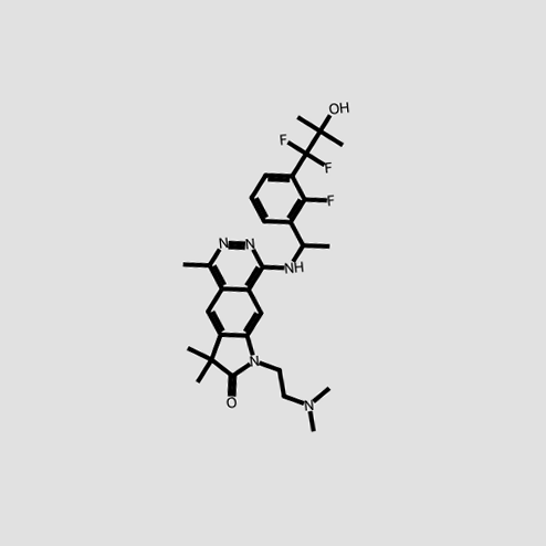 Cc1nnc(NC(C)c2cccc(C(F)(F)C(C)(C)O)c2F)c2cc3c(cc12)C(C)(C)C(=O)N3CCN(C)C